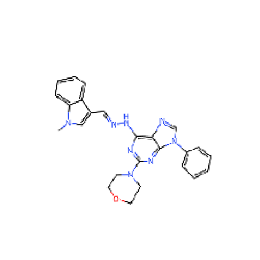 Cn1cc(/C=N/Nc2nc(N3CCOCC3)nc3c2ncn3-c2ccccc2)c2ccccc21